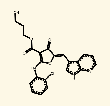 O=C(OCCCO)C1=C(Nc2ccccc2Cl)O/C(=C\c2c[nH]c3ncccc23)C1=O